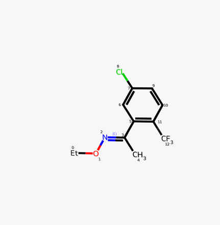 CCO/N=C(\C)c1cc(Cl)ccc1C(F)(F)F